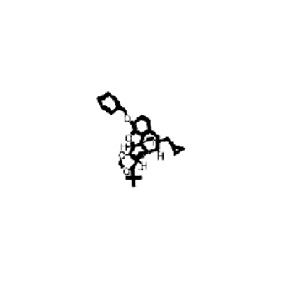 CC(C)(C)[C@@]1(C)OCO[C@]23CC[C@@]4(C[C@@H]21)[C@H]1Cc2ccc(OCc5ccccc5)c5c2[C@@]4(CCN1CC1CC1)[C@H]3O5